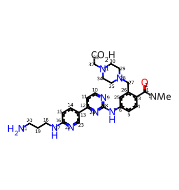 CNC(=O)c1ccc(Nc2nccc(-c3ccc(NCCCN)nc3)n2)cc1CN1CCN(CC(=O)O)CC1